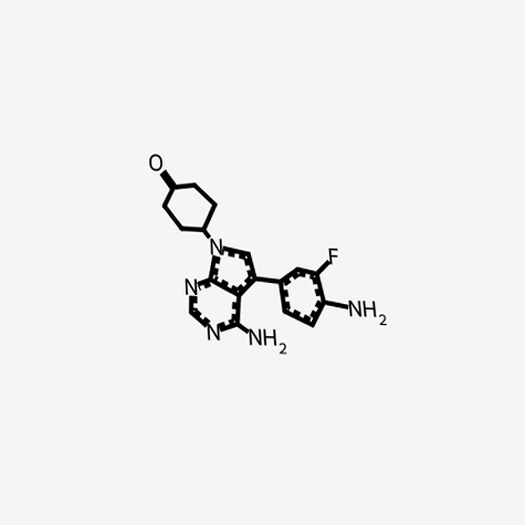 Nc1ccc(-c2cn(C3CCC(=O)CC3)c3ncnc(N)c23)cc1F